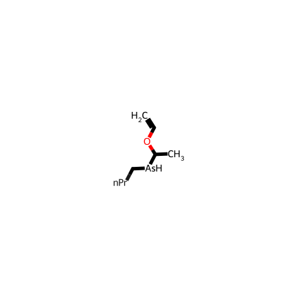 C=COC(C)[AsH]CCCC